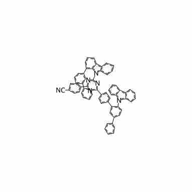 N#Cc1ccc(-c2nc(-c3ccc(-c4cc(-c5ccccc5)ccc4-n4c5ccccc5c5ccccc54)cc3)nc(-n3c4ccccc4c4cccc(-c5cccc(-c6ccccc6)c5)c43)n2)cc1